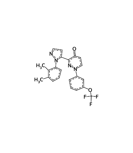 Cc1cccc(-n2nccc2-c2nn(-c3cccc(OC(F)(F)F)c3)ccc2=O)c1C